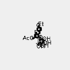 CCOc1ccc(Cc2c(F)cc(COC(C)=O)cc2O[C@@H]2O[C@H]([C@@H](C)O)[C@@H](O)[C@H](O)[C@H]2O)cc1